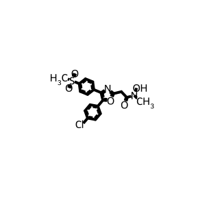 CN(O)C(=O)Cc1nc(-c2ccc(S(C)(=O)=O)cc2)c(-c2ccc(Cl)cc2)o1